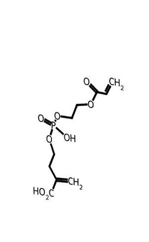 C=CC(=O)OCCOP(=O)(O)OCCC(=C)C(=O)O